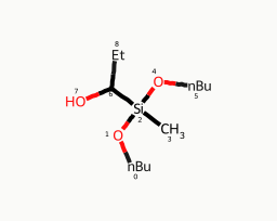 CCCCO[Si](C)(OCCCC)C(O)CC